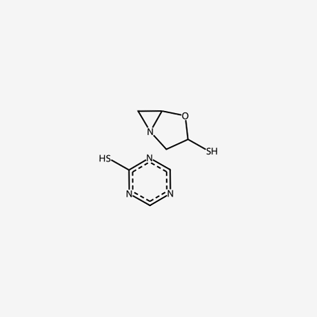 SC1CN2CC2O1.Sc1ncncn1